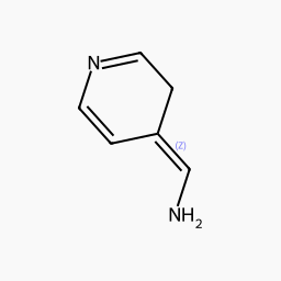 N/C=C1\C=CN=CC1